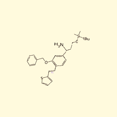 CC(C)(C)[Si](C)(C)OCCC(N)c1ccc(/C=C/c2cccs2)c(OCc2ccccc2)c1